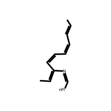 C/C=C/C=C\C=C/C(=C\C)/N=C\CCC